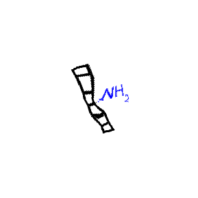 N[C@]12C3=C(C4CCC34)C1C1C3CCC3C12